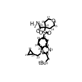 CC(C)(C)Cc1nc2cc(S(=O)(=O)C3(C(N)=O)CCOCC3)ccc2n1CC1CC1